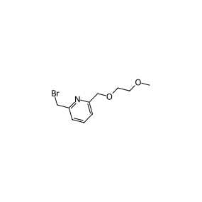 COCCOCc1cccc(CBr)n1